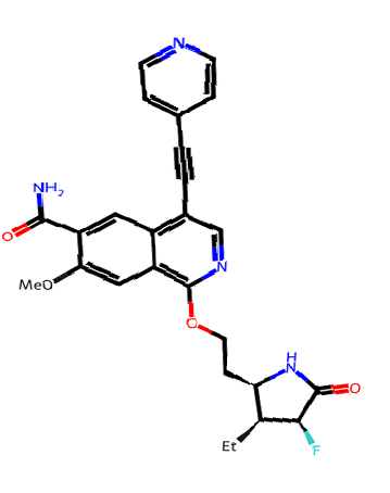 CC[C@@H]1[C@H](F)C(=O)N[C@@H]1CCOc1ncc(C#Cc2ccncc2)c2cc(C(N)=O)c(OC)cc12